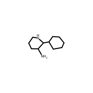 NC1CCCNC1C1CCCCC1